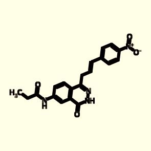 CCC(=O)Nc1ccc2c(CC=Cc3ccc([N+](=O)[O-])cc3)n[nH]c(=O)c2c1